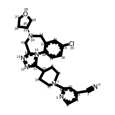 N#Cc1ccnc(N2CCC(c3nnc4n3-c3ccc(Cl)cc3CN([C@@H]3CCOC3)C4)CC2)c1